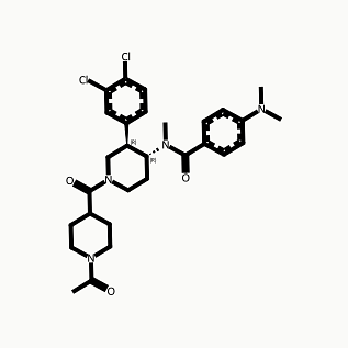 CC(=O)N1CCC(C(=O)N2CC[C@@H](N(C)C(=O)c3ccc(N(C)C)cc3)[C@H](c3ccc(Cl)c(Cl)c3)C2)CC1